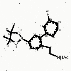 CC(=O)NCCc1ccc(B2OC(C)(C)C(C)(C)O2)cc1-c1cccc(F)c1